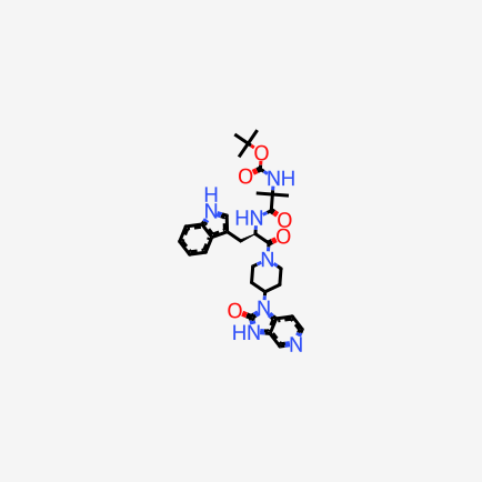 CC(C)(C)OC(=O)NC(C)(C)C(=O)N[C@H](Cc1c[nH]c2ccccc12)C(=O)N1CCC(n2c(=O)[nH]c3cnccc32)CC1